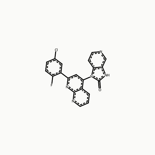 O=c1[nH]c2cnccc2n1-c1cc(-c2cc(Cl)ccc2F)nc2ncccc12